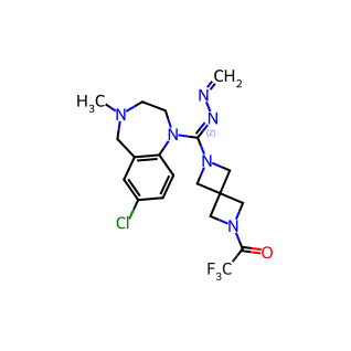 C=N/N=C(/N1CC2(CN(C(=O)C(F)(F)F)C2)C1)N1CCN(C)Cc2cc(Cl)ccc21